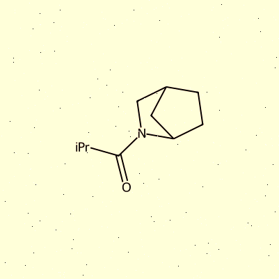 CC(C)C(=O)N1CC2CCC1C2